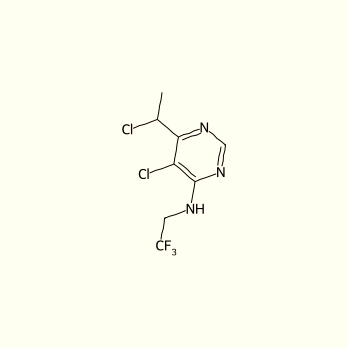 CC(Cl)c1ncnc(NCC(F)(F)F)c1Cl